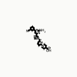 N#Cc1cccc(-c2cc(/C(=C/NCc3cccc(N4CCC(C(=O)O)CC4)n3)N=N)nc(N)n2)c1